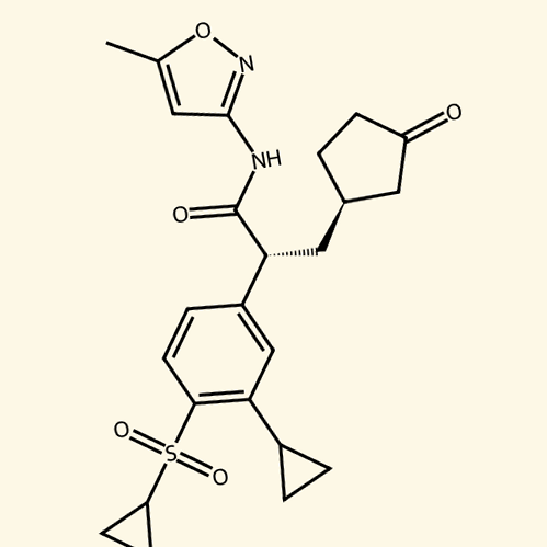 Cc1cc(NC(=O)[C@H](C[C@H]2CCC(=O)C2)c2ccc(S(=O)(=O)C3CC3)c(C3CC3)c2)no1